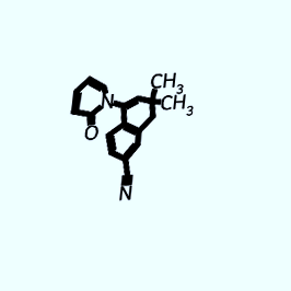 CC1(C)C=C(n2ccccc2=O)c2ccc(C#N)cc2C1